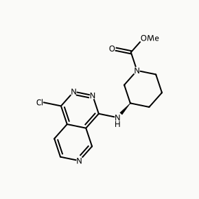 COC(=O)N1CCC[C@@H](Nc2nnc(Cl)c3ccncc23)C1